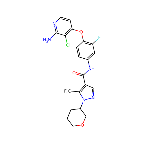 Nc1nccc(Oc2ccc(NC(=O)c3cnn(C4CCCOC4)c3C(F)(F)F)cc2F)c1Cl